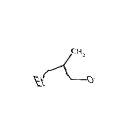 CCCC(C)C[O]